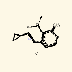 C[C@H](N)c1c(O)cccc1/C=C/C1CC1.Cl